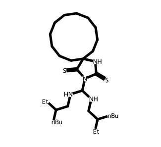 CCCCC(CC)CNC(NCC(CC)CCCC)N1C(=S)NC2(CCCCCCCCCCC2)C1=S